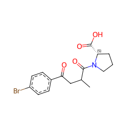 CC(CC(=O)c1ccc(Br)cc1)C(=O)N1CCC[C@H]1C(=O)O